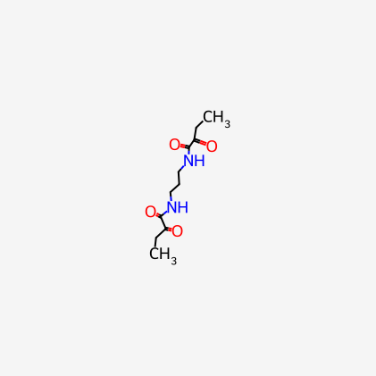 CCC(=O)C(=O)NCCCNC(=O)C(=O)CC